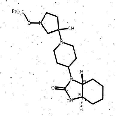 CCOC(=O)ON1CCC(C)(N2CCC(N3C(=O)N[C@@H]4CCCC[C@H]43)CC2)C1